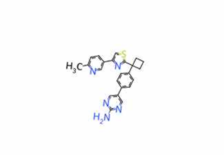 Cc1ccc(-c2csc(C3(c4ccc(-c5cnc(N)nc5)cc4)CCC3)n2)cn1